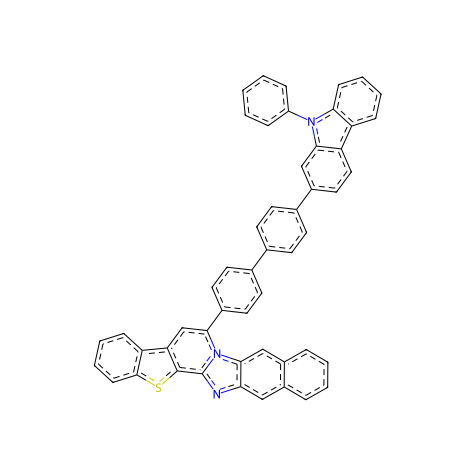 c1ccc(-n2c3ccccc3c3ccc(-c4ccc(-c5ccc(-c6cc7c8ccccc8sc7c7nc8cc9ccccc9cc8n67)cc5)cc4)cc32)cc1